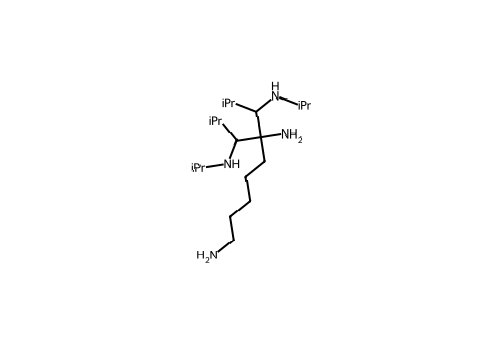 CC(C)NC(C(C)C)C(N)(CCCCCN)C(NC(C)C)C(C)C